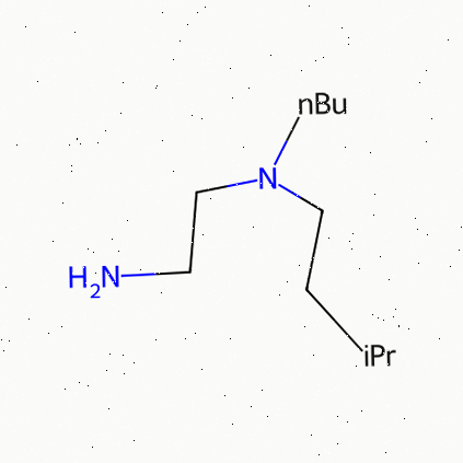 CCCCN(CCN)CCC(C)C